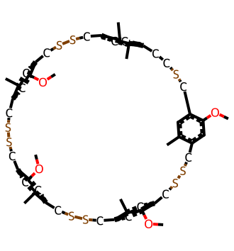 COc1cc2c(C)cc1CSCCc1cc(C)c(cc1C)CSSCc1cc(C)c(cc1OC)CSSCc1cc(C)c(cc1OC)CSSCc1cc(OC)c(cc1C)CSSC2